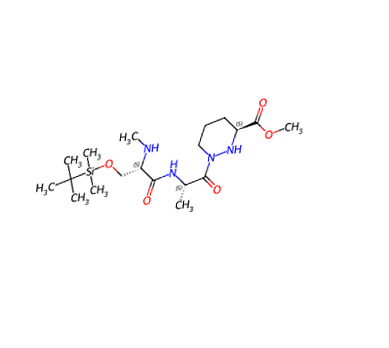 CN[C@@H](CO[Si](C)(C)C(C)(C)C)C(=O)N[C@@H](C)C(=O)N1CCC[C@@H](C(=O)OC)N1